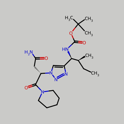 CC[C@H](C)[C@H](NC(=O)OC(C)(C)C)c1cn([C@@H](CC(N)=O)C(=O)N2CCCCC2)nn1